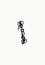 CC(C)OC(=O)N1CCC(CO[C@H]2CC[C@H](c3ccc(S(C)(=O)=O)cc3F)CC2)CC1